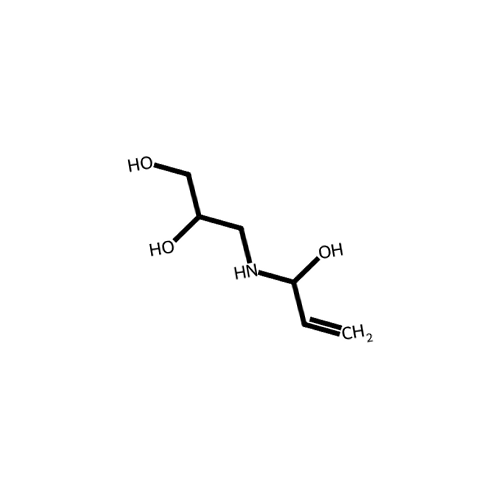 C=CC(O)NCC(O)CO